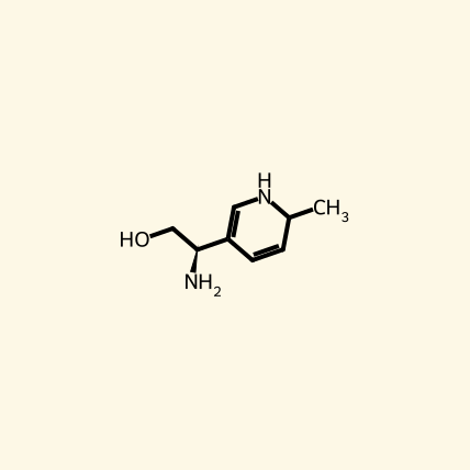 CC1C=CC([C@@H](N)CO)=CN1